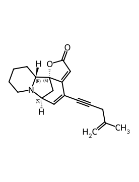 C=C(C)CC#CC1=C[C@@H]2C[C@@]3(OC(=O)C=C13)[C@H]1CCCCN21